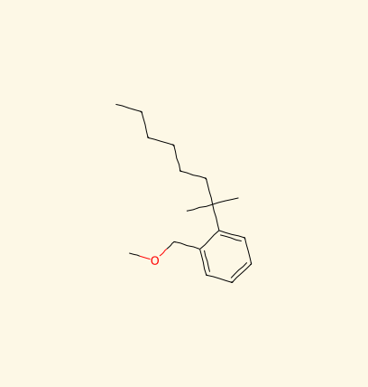 CCCCCCC(C)(C)c1ccccc1COC